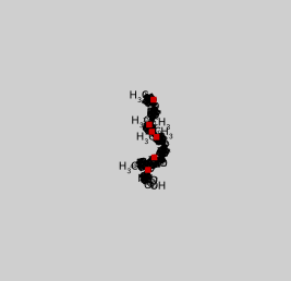 Cc1ccc(Oc2ccc(C(C)(C)c3cccc(C(C)(C)c4ccc(Oc5ccc(C(=O)c6ccc(-c7ccc(C)cc7C(=O)c7cncc(S(=O)(=O)O)c7)cc6)cc5)cc4)c3)cc2)cc1